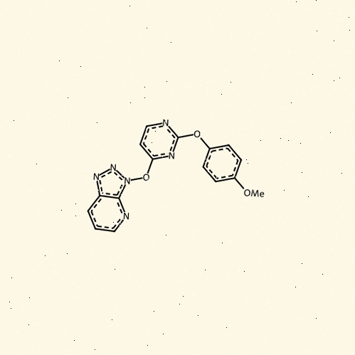 COc1ccc(Oc2nccc(On3nnc4cccnc43)n2)cc1